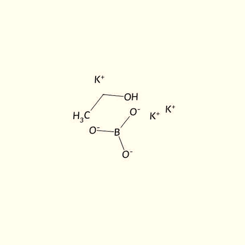 CCO.[K+].[K+].[K+].[O-]B([O-])[O-]